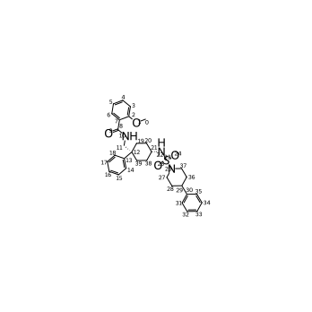 COc1ccccc1C(=O)NC[C@]1(c2ccccc2)CC[C@H](NS(=O)(=O)N2CCC(c3ccccc3)CC2)CC1